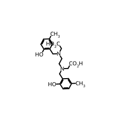 Cc1ccc(O)c(CN(CCN(CC(=O)O)Cc2cc(C)ccc2O)CC(=O)O)c1